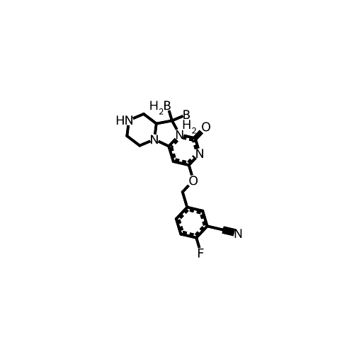 BC1(B)C2CNCCN2c2cc(OCc3ccc(F)c(C#N)c3)nc(=O)n21